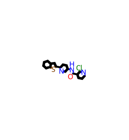 O=C(Nc1ccc(-c2cc3ccccc3s2)nc1)c1cccnc1Cl